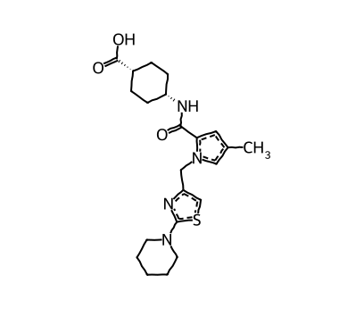 Cc1cc(C(=O)N[C@H]2CC[C@@H](C(=O)O)CC2)n(Cc2csc(N3CCCCC3)n2)c1